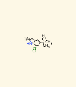 CC(C)(C)c1ccc2[nH][c]([Ti+2])cc2c1.[Cl-].[Cl-]